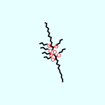 CCCCCCCCCCC(OCCCC)=C(OCCCC)C(OCCCC)OC(OCCCC)C(OCCCC)=C(CCCCCCCCCC)OCCCC